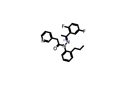 CCCc1ccccc1N(/N=C(\C)c1cc(F)ccc1F)C(=O)Cc1cccnc1